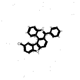 Clc1ccc2oc3ccc4c(-c5ccccc5)nc5ccccc5c4c3c2c1